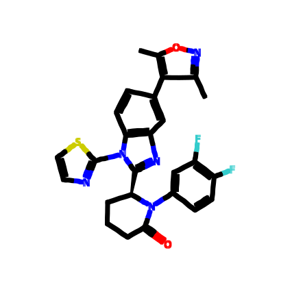 Cc1noc(C)c1-c1ccc2c(c1)nc([C@@H]1CCCC(=O)N1c1ccc(F)c(F)c1)n2-c1nccs1